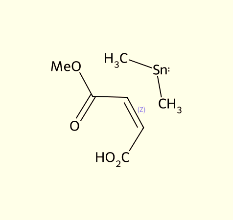 COC(=O)/C=C\C(=O)O.[CH3][Sn][CH3]